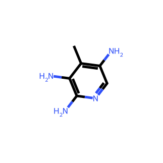 Cc1c(N)cnc(N)c1N